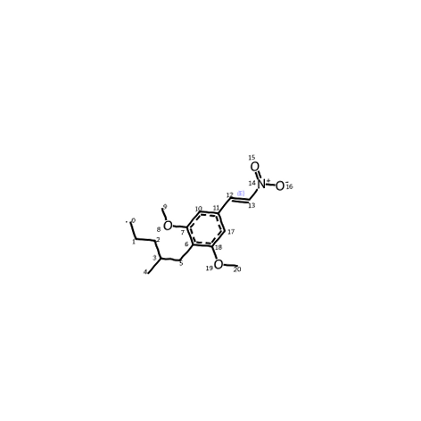 [CH2]CCC(C)Cc1c(OC)cc(/C=C/[N+](=O)[O-])cc1OC